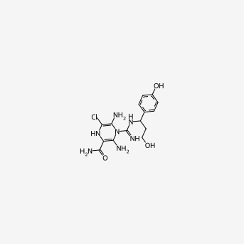 N=C(NC(CCO)c1ccc(O)cc1)N1C(N)=C(Cl)NC(C(N)=O)=C1N